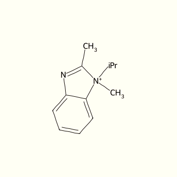 CC1=Nc2ccccc2[N+]1(C)C(C)C